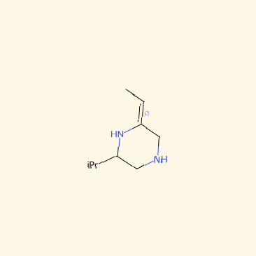 C/C=C1/CNCC(C(C)C)N1